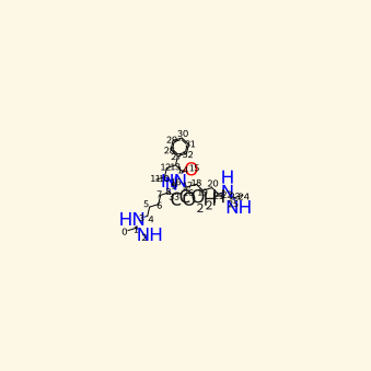 CC(=N)NCCCCC(N=C(C)CC(C(=O)NC(CCCCNC(C)=N)C(=O)O)c1ccccc1)C(=O)O